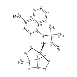 COc1ccc(C2N([C@H]3C4CC5C[C@@]6(O)CC3CC56C4)C(=O)C2(C)C)c2ccccc12